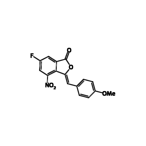 COc1ccc(C=C2OC(=O)c3cc(F)cc([N+](=O)[O-])c32)cc1